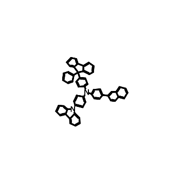 c1ccc(C2(c3ccc(N(c4ccc(-c5ccc6ccccc6c5)cc4)c4ccc(-n5c6ccccc6c6ccccc65)cc4)cc3)c3ccccc3-c3ccccc32)cc1